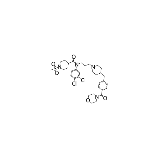 CS(=O)(=O)N1CCC(C(=O)N(CCCN2CCC(Cc3ccc(C(=O)N4CCOCC4)cc3)CC2)c2ccc(Cl)c(Cl)c2)CC1